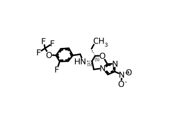 CC[C@@H]1Oc2nc([N+](=O)[O-])cn2C[C@@H]1NCc1ccc(OC(F)(F)F)c(F)c1